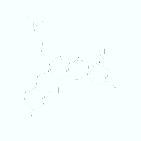 CN(C)CCCc1cc(Nc2ccc(F)cc2Cl)c(F)cc1Cc1ccc(F)cc1Cl